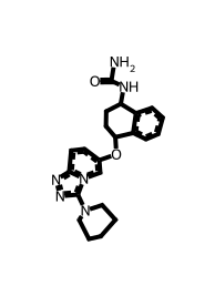 NC(=O)NC1CCC(Oc2ccc3nnc(N4CCCCC4)n3c2)c2ccccc21